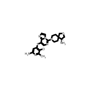 Cc1nc(N)cc(Sc2cnc(N3CCC4(CC3)COC[C@H]4N)n3ccnc23)c1Cl